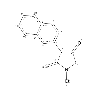 CCN1CC(=O)N(c2ccc3ccccc3c2)C1=S